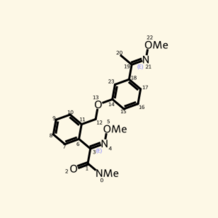 CNC(=O)/C(=N/OC)c1ccccc1COc1cccc(/C(C)=N/OC)c1